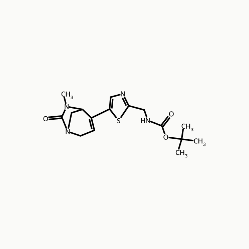 CN1C(=O)N2CC=C(c3cnc(CNC(=O)OC(C)(C)C)s3)C1C2